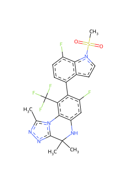 Cc1nnc2n1-c1c(cc(F)c(-c3ccc(F)c4c3ccn4S(C)(=O)=O)c1C(F)(F)F)NC2(C)C